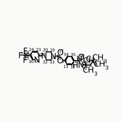 CC(C)(C)CC(C)(C)NC(=O)c1ccc(OC(=O)N2CCN(c3ccc(C(F)(F)F)cn3)CC2)cc1